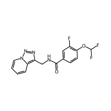 O=C(NCc1nnn2ccccc12)c1ccc(OC(F)F)c(F)c1